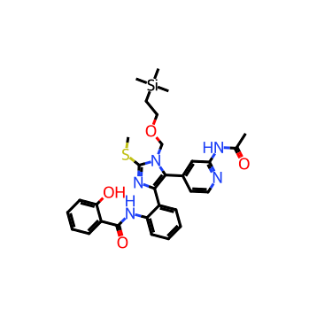 CSc1nc(-c2ccccc2NC(=O)c2ccccc2O)c(-c2ccnc(NC(C)=O)c2)n1COCC[Si](C)(C)C